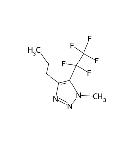 CCCc1nnn(C)c1C(F)(F)C(F)(F)F